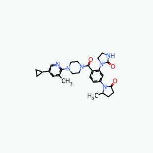 Cc1cc(C2CC2)cnc1N1CCN(C(=O)c2ccc(N3C(=O)CCC3C)cc2N2CCNC2=O)CC1